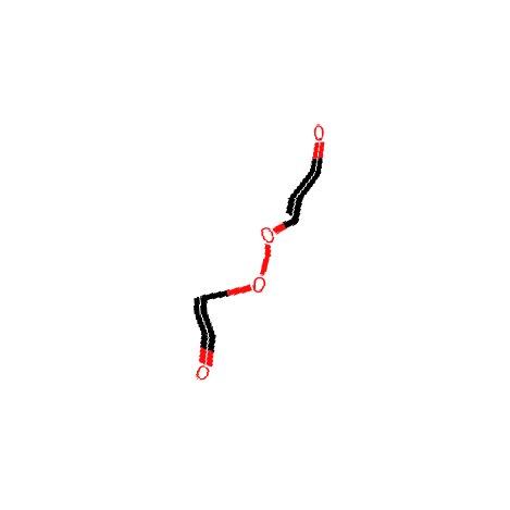 O=C=COOC=C=O